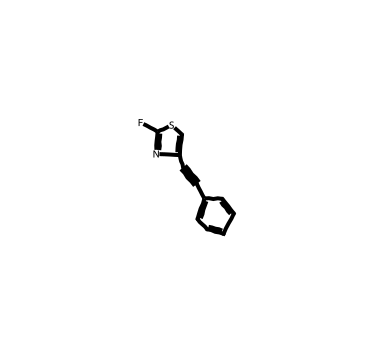 Fc1nc(C#Cc2ccccc2)cs1